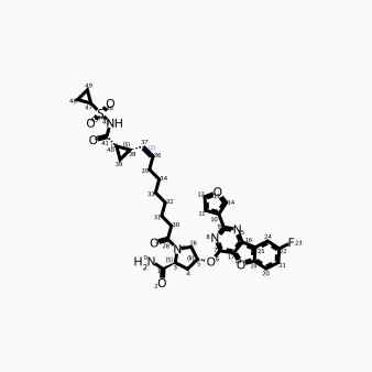 NC(=O)[C@@H]1C[C@@H](Oc2nc(-c3ccoc3)nc3c2oc2ccc(F)cc23)CN1C(=O)CCCCCC/C=C\[C@@H]1C[C@@H]1C(=O)NS(=O)(=O)C1CC1